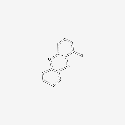 O=c1cccc2oc3ccccc3pc1-2